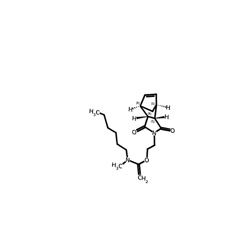 C=C(OCCN1C(=O)[C@@H]2[C@H](C1=O)[C@H]1C=C[C@@H]2C1)N(C)CCCCCC